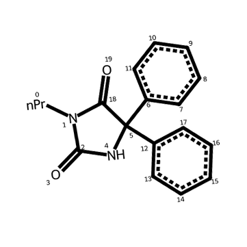 CCCN1C(=O)NC(c2ccccc2)(c2ccccc2)C1=O